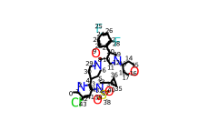 Cc1nc(C2CCN(C(=O)[C@@H]3CN(C4CCOCC4)CC3c3ccc(F)cc3F)CC2)c(N(CC2CC2)S(C)(=O)=O)cc1Cl